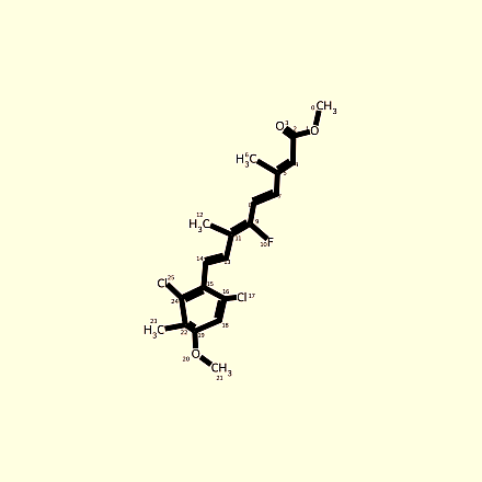 COC(=O)/C=C(C)/C=C/C(F)=C(C)/C=C/c1c(Cl)cc(OC)c(C)c1Cl